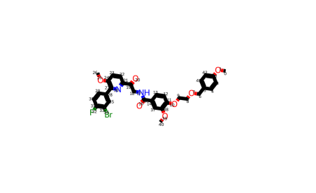 COc1ccc(COCCOc2ccc(C(=O)NCC(=O)c3ccc(OC)c(-c4ccc(F)c(Br)c4)n3)cc2OC)cc1